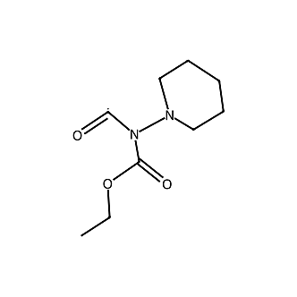 CCOC(=O)N([C]=O)N1CCCCC1